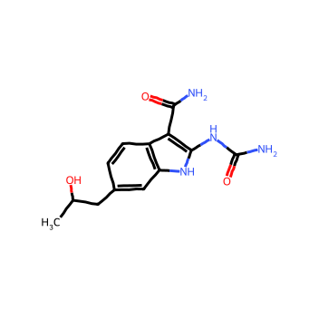 CC(O)Cc1ccc2c(C(N)=O)c(NC(N)=O)[nH]c2c1